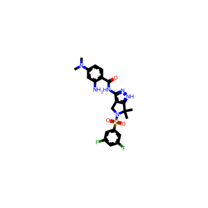 CN(C)c1ccc(C(=O)Nc2n[nH]c3c2CN(S(=O)(=O)c2cc(F)cc(F)c2)C3(C)C)c(N)c1